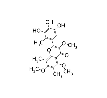 COc1c(C)c(OC)c2c(=O)c(OC)c(-c3cc(O)c(O)c(O)c3C)oc2c1C